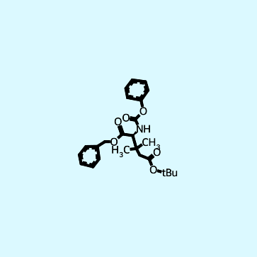 CC(C)(C)OC(=O)CC(C)(C)[C@H](NC(=O)Oc1ccccc1)C(=O)OCc1ccccc1